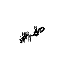 Cc1cnc2c(N)c(C(=O)NCCc3ccc(N4CC5CCC(C4)N5)c(C#N)c3)sc2n1